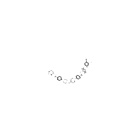 COc1cc(O[C@H]2C(C)(C)[C@H](NC(=O)c3ccc(N4CCC(CN5CCN(c6ccc(C(=O)N[C@H]7CCC(=O)NC7=O)c(F)c6)CC5)CC4)cc3)C2(C)C)ccc1C#N